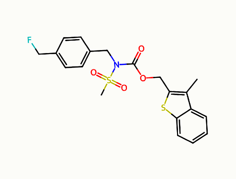 Cc1c(COC(=O)N(Cc2ccc(CF)cc2)S(C)(=O)=O)sc2ccccc12